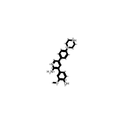 COc1cc(-c2cc(-c3ccc(N4CCNCC4)cc3)cnc2N)ccc1O